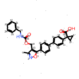 Cc1noc(-c2ccc(-c3ccc(C4(C(=O)O)CC4)cc3)cc2)c1COC(=O)NCc1ccccc1